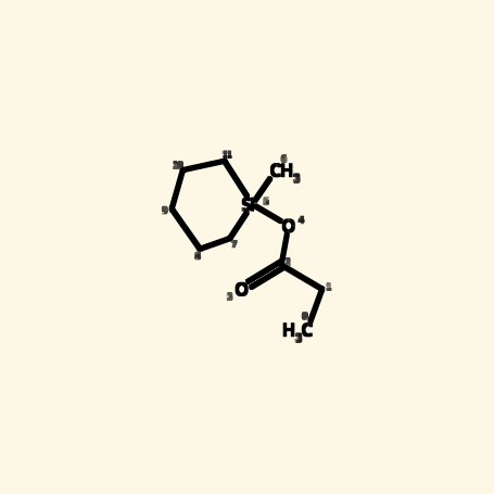 CCC(=O)O[Si]1(C)CCCCC1